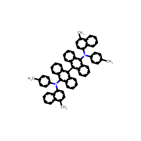 Cc1ccc(N(c2ccc(C)c3ccccc23)c2c3ccccc3c(-c3c4ccccc4c(N(c4ccc(C)cc4)c4ccc(C)c5ccccc45)c4ccccc34)c3ccccc23)cc1